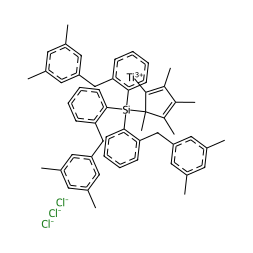 CC1=C(C)C(C)([Si](c2ccccc2Cc2cc(C)cc(C)c2)(c2ccccc2Cc2cc(C)cc(C)c2)c2ccccc2Cc2cc(C)cc(C)c2)[C]([Ti+3])=C1C.[Cl-].[Cl-].[Cl-]